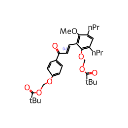 CCCc1cc(CCC)c(OCOC(=O)C(C)(C)C)c(/C=C/C(=O)c2ccc(OCOC(=O)C(C)(C)C)cc2)c1OC